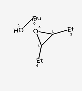 CCC(C)O.CCC1OC1CC